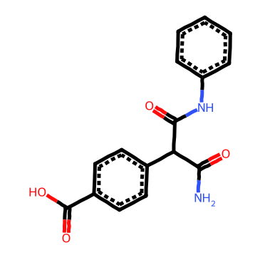 NC(=O)C(C(=O)Nc1ccccc1)c1ccc(C(=O)O)cc1